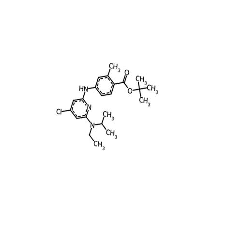 CCN(c1cc(Cl)cc(Nc2ccc(C(=O)OC(C)(C)C)c(C)c2)n1)C(C)C